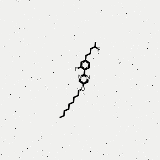 CCCCCCCCCOc1cnc(-c2ccc(CCCC(C)F)cc2F)nc1